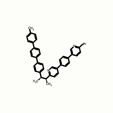 Cc1ccc(-c2ccc(-c3ccc([C@H](C)[C@H](C)c4ccc(-c5ccc(-c6ccc(C(C)C)nc6)cc5)cn4)cc3)cc2)cc1